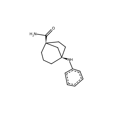 NC(=O)[C@@]12CCC[C@@](Nc3ccccc3)(CC1)C2